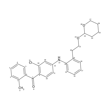 Cc1ccccc1C(=O)c1ccc(Nc2ccccc2CCOC2CCCCO2)cc1Cl